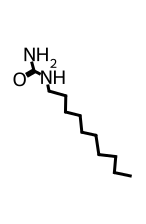 CCCCCCCCCCNC(N)=O